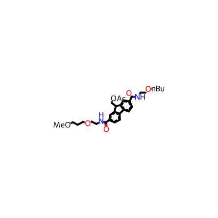 CCCCOCCNC(=O)c1ccc2c(c1)C(COC(C)=O)c1cc(C(=O)NCCOCCCOC)ccc1-2